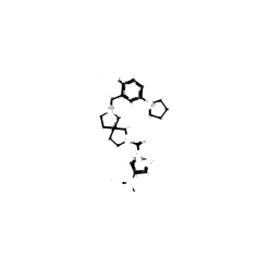 CC(=O)N(C)c1cnn(C(=O)N2CCC3(CCN(Cc4cc(N5CCCC5)ccc4C(F)(F)F)C3)C2)c1